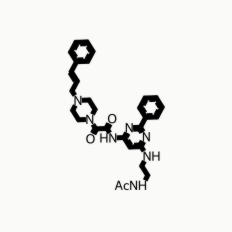 CC(=O)NCCNc1cc(NC(=O)C(=O)N2CCN(CC=Cc3ccccc3)CC2)nc(-c2ccccc2)n1